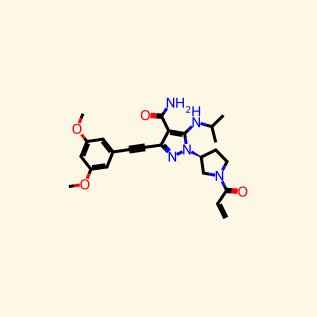 C=CC(=O)N1CC[C@H](n2nc(C#Cc3cc(OC)cc(OC)c3)c(C(N)=O)c2NC(C)C)C1